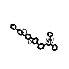 c1ccc(-c2ccc3c(c2)oc2cc4c(cc23)oc2cc(-c3cccc(-c5cc(-c6ccccc6)nc(-c6ccccc6)n5)c3)ccc24)cc1